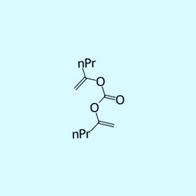 C=C(CCC)OC(=O)OC(=C)CCC